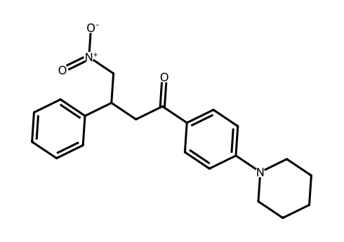 O=C(CC(C[N+](=O)[O-])c1ccccc1)c1ccc(N2CCCCC2)cc1